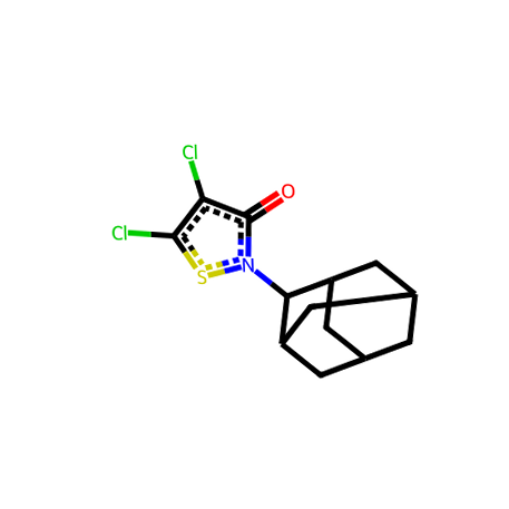 O=c1c(Cl)c(Cl)sn1C1C2CC3CC(C2)CC1C3